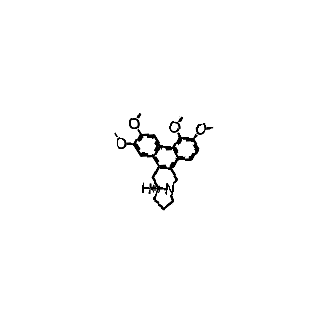 COc1cc2c3c(c4ccc(OC)c(OC)c4c2cc1OC)CN1CCC[C@@H]1C3